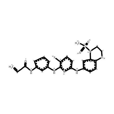 C=CC(=O)Nc1cccc(Nc2nc(Nc3ccc4c(c3)N(S(C)(=O)=O)CCO4)ccc2F)c1